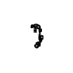 O=c1ccc2ccc(OCCCN3CCCN(Cc4ccc5ccccc5n4)CC3)cc2[nH]1